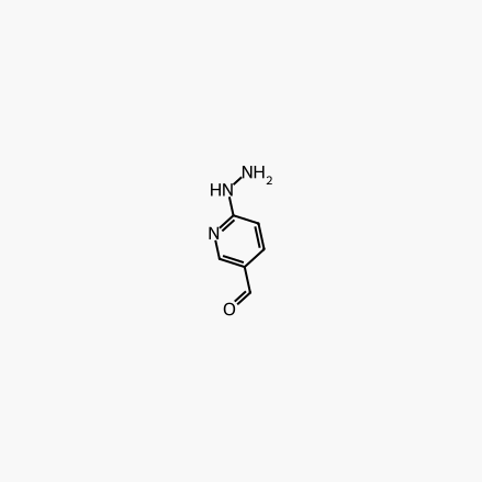 NNc1ccc(C=O)cn1